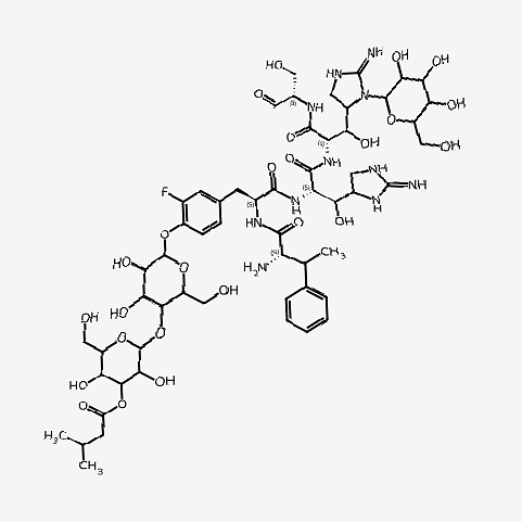 CC(C)CC(=O)OC1C(O)C(CO)OC(OC2C(CO)OC(Oc3ccc(C[C@H](NC(=O)[C@@H](N)C(C)c4ccccc4)C(=O)N[C@H](C(=O)N[C@H](C(=O)N[C@H]([C]=O)CO)C(O)C4CNC(=N)N4C4OC(CO)C(O)C(O)C4O)C(O)C4CNC(=N)N4)cc3F)C(O)C2O)C1O